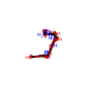 NC(=O)[C@H](CCCCNC(=O)CC[C@H](NC(=O)CC[C@H](NC(=O)COCCOCCNC(=O)COCCOCCNC(=O)CC[C@H](NC(=O)CCCCCCCCCCCCCCCCC(=O)O)C(=O)O)C(=O)O)C(=O)O)NC(=O)[C@H](CO)NI